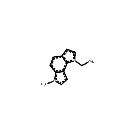 CCn1ccc2ccc3c(ccn3C)c21